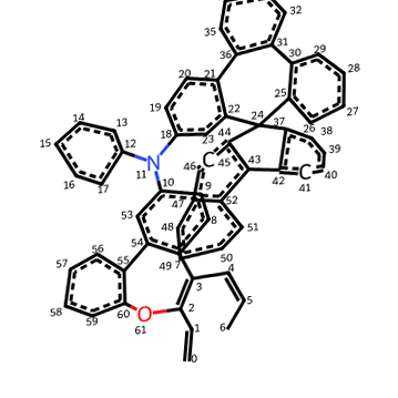 C=CC1=C(/C=C\C)c2ccc(N(c3ccccc3)c3ccc4c(c3)C3(c5ccccc5-c5ccccc5-4)c4ccccc4-c4c3ccc3ccccc43)cc2-c2ccccc2O1